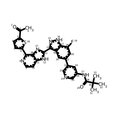 CC(=O)c1ccc(-c2nccc3[nH]c(-c4n[nH]c5c(F)cc(-c6cncc(NC(=O)C(C)(C)C)c6)cc45)nc23)s1